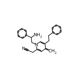 C=C1C=C(CC#N)N(CC(N)c2ccccc2)C=C1CCc1ccccc1